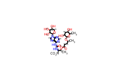 C[C@@H](CCC(=O)O[C@H](C)[C@H](NC(=O)Nc1ncnc2c1ncn2[C@@H]1OC[C@@H](O)[C@H](O)[C@H]1O)C(=O)O)O[C@H]1O[C@H](C)[C@@H](O)C[C@H]1O